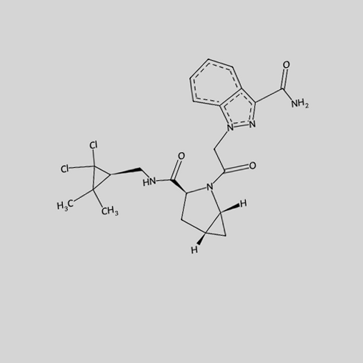 CC1(C)[C@H](CNC(=O)[C@@H]2C[C@H]3C[C@H]3N2C(=O)Cn2nc(C(N)=O)c3ccccc32)C1(Cl)Cl